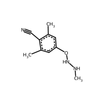 CNNOc1cc(C)c(C#N)c(C)c1